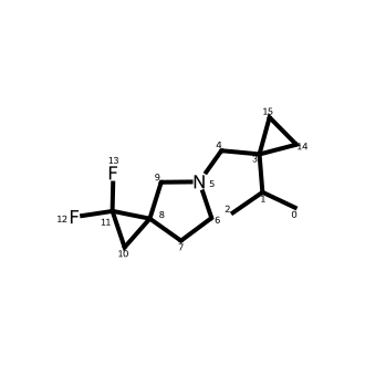 CC(C)C1(CN2CCC3(C2)CC3(F)F)CC1